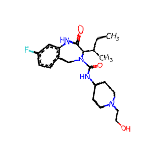 CCC(C)C1C(=O)Nc2cc(F)ccc2CN1C(=O)NC1CCN(CCO)CC1